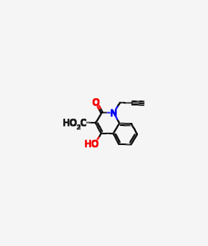 C#CCn1c(=O)c(C(=O)O)c(O)c2ccccc21